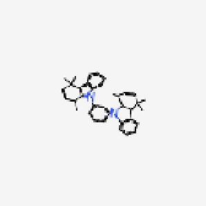 CC1C=CC(C)(C)c2c1n(-c1cccc(N3c4ccccc4C4C3C(C)C=CC4(C)C)c1)c1ccccc21